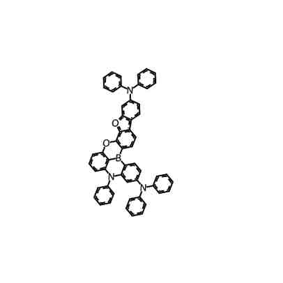 c1ccc(N(c2ccccc2)c2ccc3c(c2)N(c2ccccc2)c2cccc4c2B3c2ccc3c(oc5cc(N(c6ccccc6)c6ccccc6)ccc53)c2O4)cc1